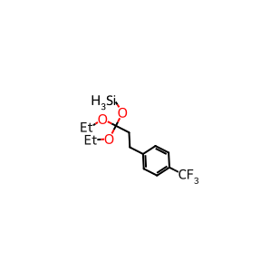 CCOC(CCc1ccc(C(F)(F)F)cc1)(O[SiH3])OCC